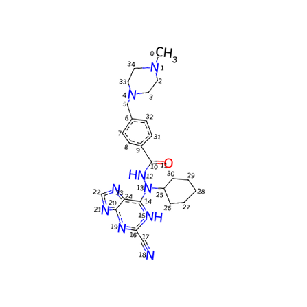 CN1CCN(Cc2ccc(C(=O)NN(c3[nH]c(C#N)nc4ncnc3-4)C3CCCCC3)cc2)CC1